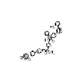 CN(C(=O)CN1CCN(c2ccc([C@H]3CCC(=O)NC3=O)cc2)CC1)C1CCC(NC(=O)C2(Oc3ccccc3)CCN(c3cnnc(-c4ccccc4O)c3)CC2)CC1